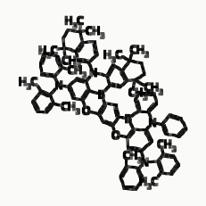 Cc1ccccc1N(c1cc2c3c(c1)N(c1ccccc1)c1ccccc1B3c1cc3c(cc1O2)Oc1cc(N(c2ccccc2C)c2c(C)cccc2C)cc2c1B3c1cc3c(cc1N2c1ccc2c(c1)C(C)(C)CCC2(C)C)C(C)(C)CCC3(C)C)c1c(C)cccc1C